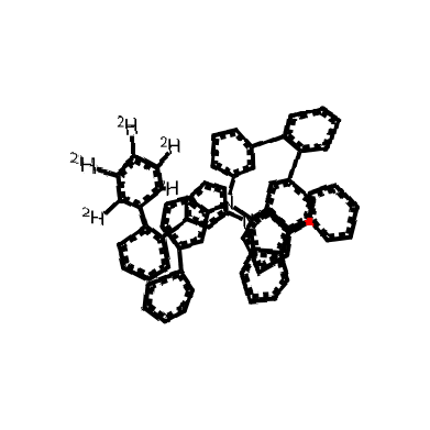 [2H]c1c([2H])c([2H])c(-c2ccccc2-c2cccc(-n3c4ccccc4c4ccc(-c5ccccc5-c5cccc(N(c6cccc(-c7ccccc7)c6)c6cccc(-c7ccccc7)c6)c5)cc43)c2)c([2H])c1[2H]